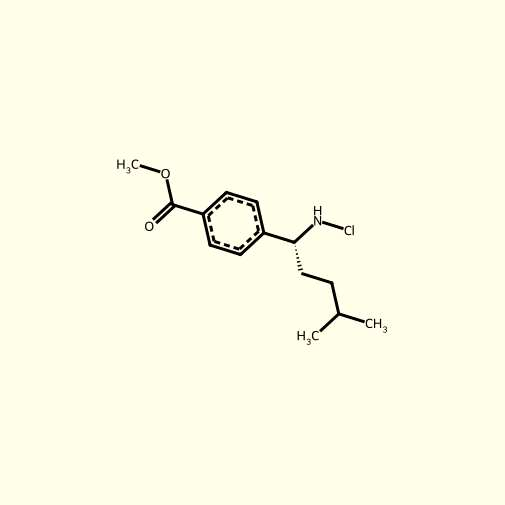 COC(=O)c1ccc([C@@H](CCC(C)C)NCl)cc1